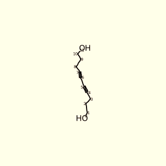 OCCCC#CC#CCCCO